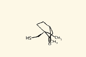 CC1(C)C2CC[C@@]1(CS)C(=O)C2